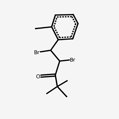 Cc1ccccc1C(Br)C(Br)C(=O)C(C)(C)C